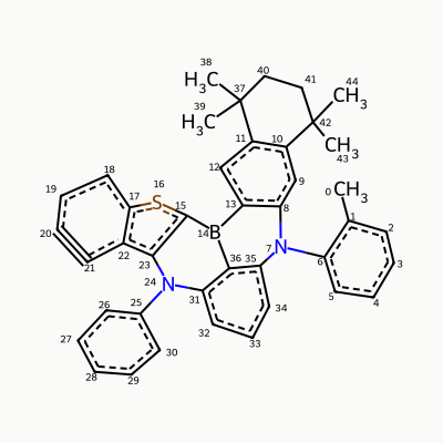 Cc1ccccc1N1c2cc3c(cc2B2c4sc5ccc#cc5c4N(c4ccccc4)c4cccc1c42)C(C)(C)CCC3(C)C